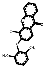 Cc1cccc(C)c1Sc1ccc2c(=O)c3ccccc3sc2c1Cl